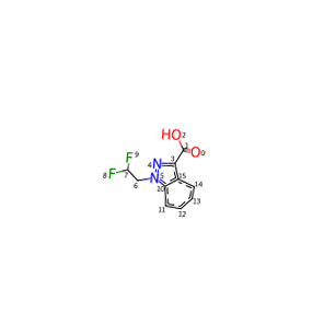 O=C(O)c1nn(CC(F)F)c2ccccc12